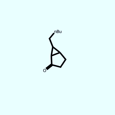 CCCCCC1C2CCC(=O)C12